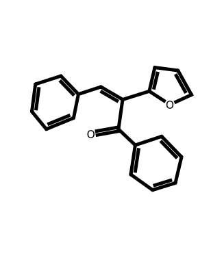 O=C(C(=Cc1ccccc1)c1ccco1)c1ccccc1